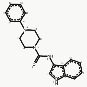 O=C(Nc1c[nH]c2ccccc12)N1CCN(c2ccccc2)CC1